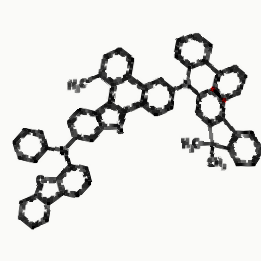 Cc1cccc2c3cc(N(c4ccc5c(c4)C(C)(C)c4ccccc4-5)c4ccccc4-c4ccccc4)ccc3c3sc4cc(N(c5ccccc5)c5cccc6c5oc5ccccc56)ccc4c3c12